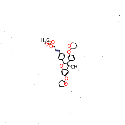 CC1=C(c2cccc(OC3CCCCO3)c2)C(c2ccc(/C=C/COS(C)(=O)=O)cc2)Oc2ccc(OC3CCCCO3)cc21